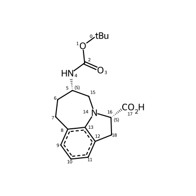 CC(C)(C)OC(=O)N[C@H]1CCc2cccc3c2N(C1)[C@H](C(=O)O)C3